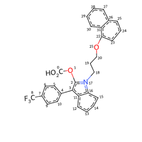 O=C(O)Oc1c(-c2ccc(C(F)(F)F)cc2)c2ccccc2n1CCCOc1cccc2ccccc12